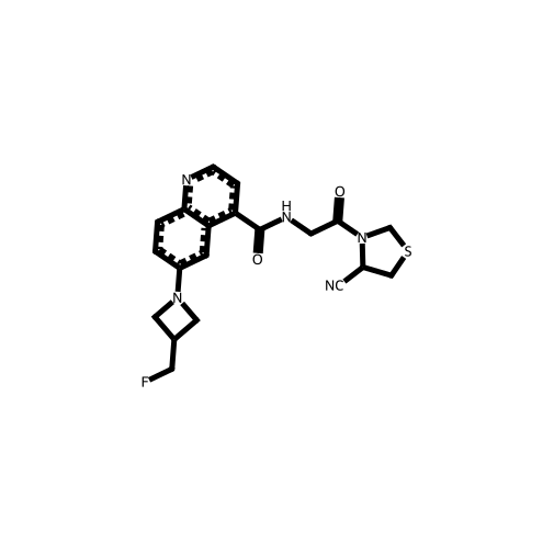 N#CC1CSCN1C(=O)CNC(=O)c1ccnc2ccc(N3CC(CF)C3)cc12